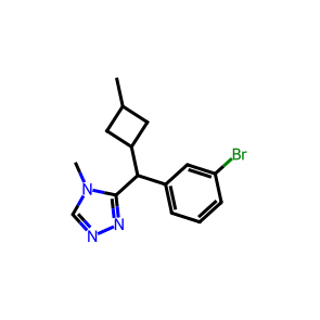 CC1CC(C(c2cccc(Br)c2)c2nncn2C)C1